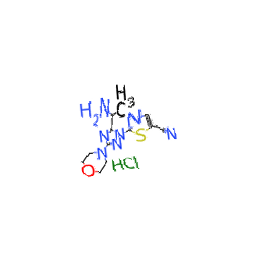 CC(N)c1nc(N2CCOCC2)nn1-c1ncc(C#N)s1.Cl